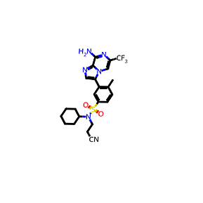 Cc1ccc(S(=O)(=O)N(CCC#N)C2CCCCC2)cc1-c1cnc2c(N)nc(C(F)(F)F)cn12